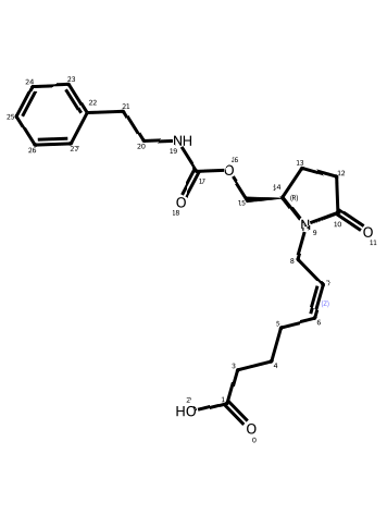 O=C(O)CCC/C=C\CN1C(=O)CC[C@@H]1COC(=O)NCCc1ccccc1